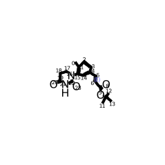 Cc1ccc(/C=C/C(=O)OC(C)(C)C)cc1N1CCC(=O)NC1=O